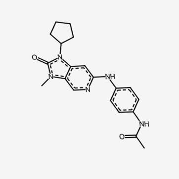 CC(=O)Nc1ccc(Nc2cc3c(cn2)n(C)c(=O)n3C2CCCC2)cc1